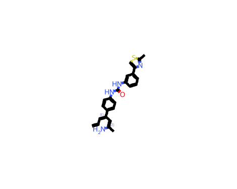 C=C/C=C(\C=C(\C)N)c1ccc(NC(=O)Nc2cccc(-c3csc(C)n3)c2)cc1